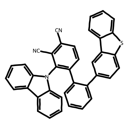 N#Cc1ccc(-c2ccccc2-c2ccc3sc4ccccc4c3c2)c(-n2c3ccccc3c3ccccc32)c1C#N